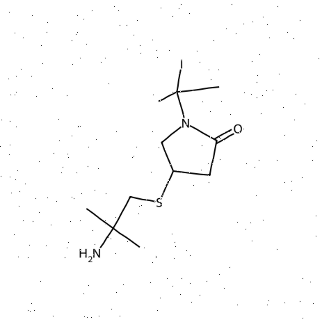 CC(C)(N)CSC1CC(=O)N(C(C)(C)I)C1